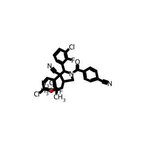 CC(C)(C)CC1CN(C(=O)c2ccc(C#N)cc2)C(c2cccc(Cl)c2F)C1(C#N)c1ccc(Cl)cc1F